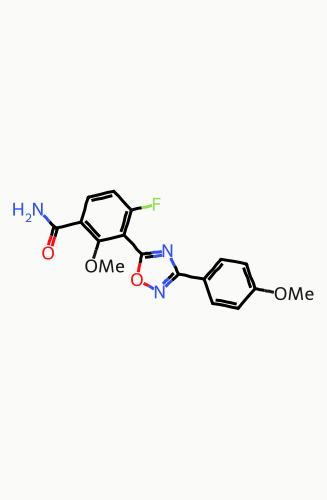 COc1ccc(-c2noc(-c3c(F)ccc(C(N)=O)c3OC)n2)cc1